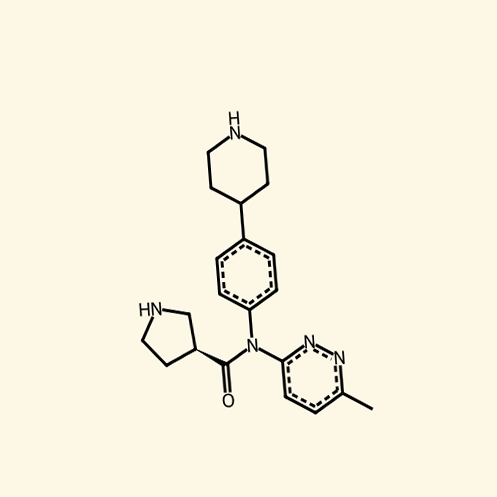 Cc1ccc(N(C(=O)[C@H]2CCNC2)c2ccc(C3CCNCC3)cc2)nn1